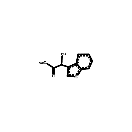 COC(=O)C(O)c1csc2ccccc12